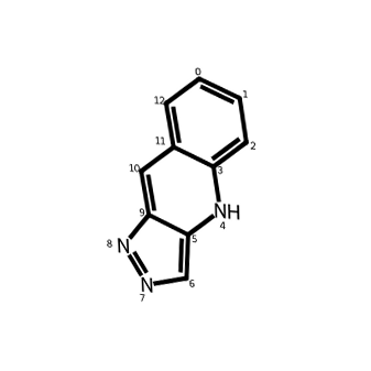 c1ccc2[nH]c3cnnc-3cc2c1